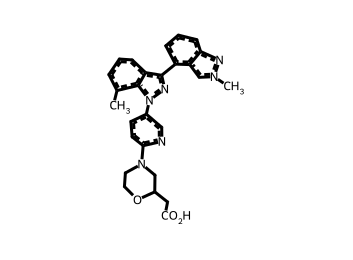 Cc1cccc2c(-c3cccc4nn(C)cc34)nn(-c3ccc(N4CCOC(CC(=O)O)C4)nc3)c12